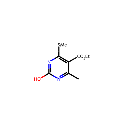 CCOC(=O)c1c(C)nc(O)nc1SC